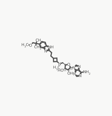 COCC(C)(C)c1ccc2[nH]c(CCC3CC(N(C)C[C@H]4O[C@@H](n5cnc6c(N)ncnc65)[C@H](O)[C@@H]4O)C3)nc2c1